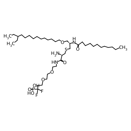 CCCCCCCCCCCC(=O)N[C@H](COCCCCCCCCCCCC(CC)CC)CSC[C@H](N)C(=O)NCCOCCOCCC(F)(F)P(=O)(O)O